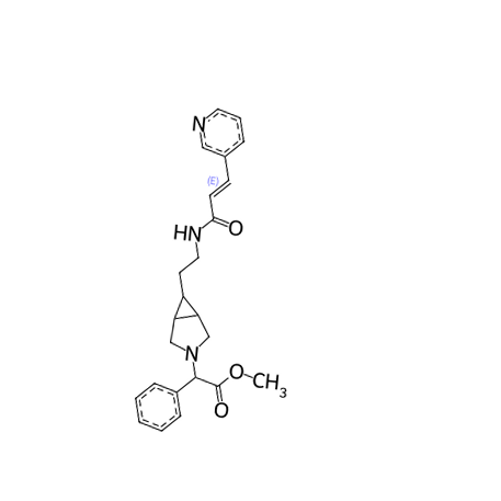 COC(=O)C(c1ccccc1)N1CC2C(CCNC(=O)/C=C/c3cccnc3)C2C1